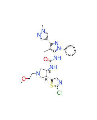 COCCN1C[C@@H](NC(=O)Nc2c(C)c(-c3cnn(C)c3)nn2-c2ccccc2)[C@H](c2cnc(Cl)s2)C1